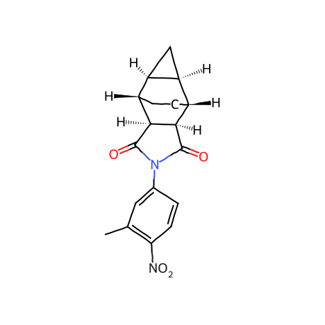 Cc1cc(N2C(=O)[C@@H]3[C@@H]4CC[C@@H]([C@H]5C[C@H]54)[C@@H]3C2=O)ccc1[N+](=O)[O-]